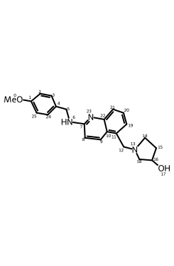 COc1ccc(CNc2ccc3c(CN4CCC(O)C4)cccc3n2)cc1